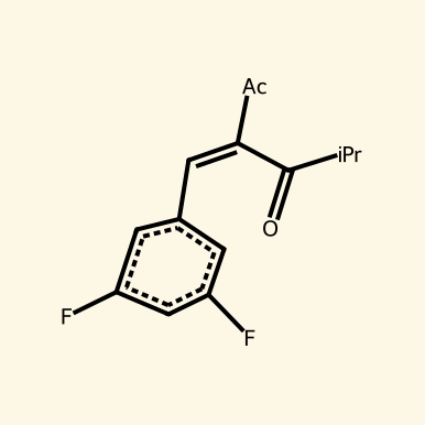 CC(=O)C(=Cc1cc(F)cc(F)c1)C(=O)C(C)C